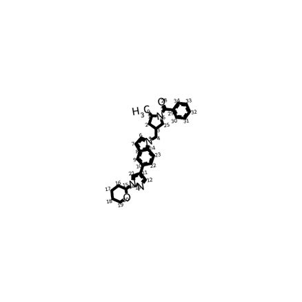 CC1CC(Cn2ccc3cc(-c4cnn(C5CCCCO5)c4)ccc32)CN1C(=O)c1ccccc1